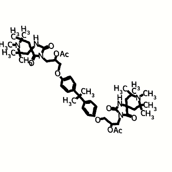 CC(=O)OC(COc1ccc(C(C)(C)c2ccc(OCC(CN3C(=O)NC4(CC(C)(C)N(C)C(C)(C)C4)C3=O)OC(C)=O)cc2)cc1)CN1C(=O)NC2(CC(C)(C)N(C)C(C)(C)C2)C1=O